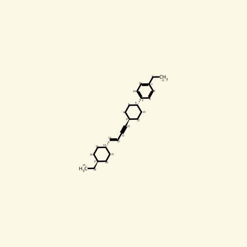 CCc1ccc([C@H]2CC[C@H](C#CC=C[C@H]3CC[C@H](CC)CC3)CC2)cc1